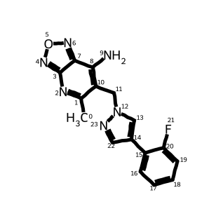 Cc1nc2nonc2c(N)c1Cn1cc(-c2ccccc2F)cn1